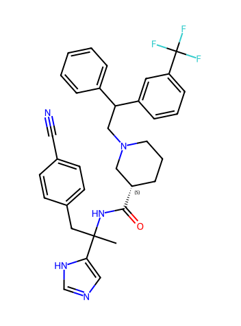 CC(Cc1ccc(C#N)cc1)(NC(=O)[C@H]1CCCN(CC(c2ccccc2)c2cccc(C(F)(F)F)c2)C1)c1cnc[nH]1